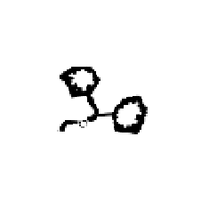 [CH2]COC(c1ccccc1)c1ccccc1